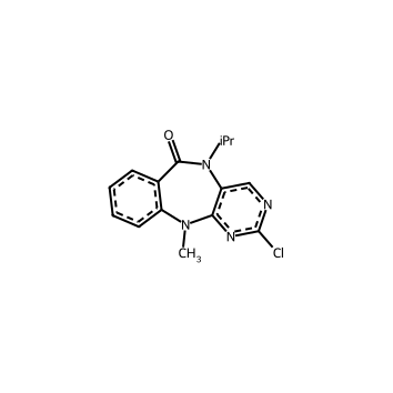 CC(C)N1C(=O)c2ccccc2N(C)c2nc(Cl)ncc21